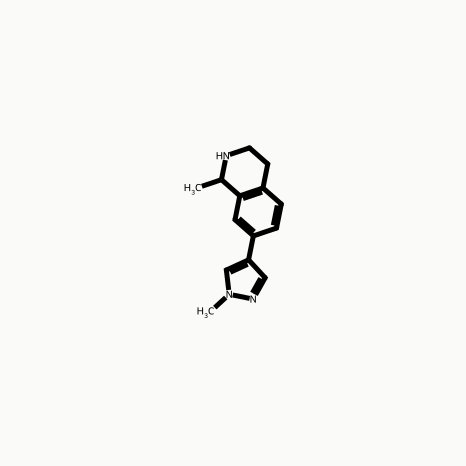 CC1NCCc2ccc(-c3cnn(C)c3)cc21